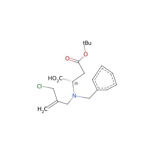 C=C(CCl)CN(Cc1ccccc1)[C@@H](CC(=O)OC(C)(C)C)C(=O)O